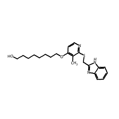 Cc1c(OCCCCCCCCO)ccnc1SCc1nc2ccccc2[nH]1